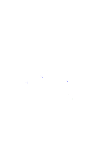 CC(C)(C)c1cc(C(=O)N2CCC(F)(F)CC2)cc(N2CCNCC2)c1